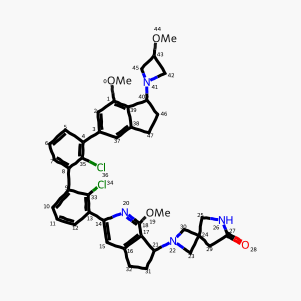 COc1cc(-c2cccc(-c3cccc(-c4cc5c(c(OC)n4)C(N4CC6(CNC(=O)C6)C4)CC5)c3Cl)c2Cl)cc2c1C(N1CC(OC)C1)CC2